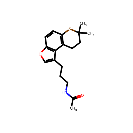 CC(=O)NCCCc1coc2ccc3c(c12)CCC(C)(C)S3